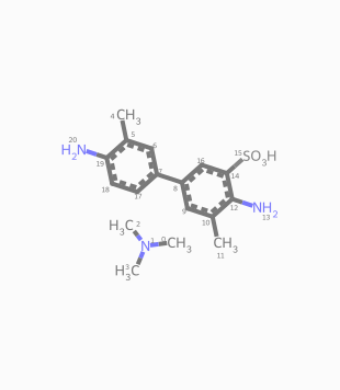 CN(C)C.Cc1cc(-c2cc(C)c(N)c(S(=O)(=O)O)c2)ccc1N